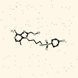 CCOCc1nc2c(N)ncc(C)c2n1CCCCNS(=O)(=O)c1ccc(C(F)(F)F)cc1